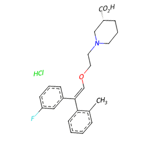 Cc1ccccc1C(=COCCN1CCC[C@@H](C(=O)O)C1)c1cccc(F)c1.Cl